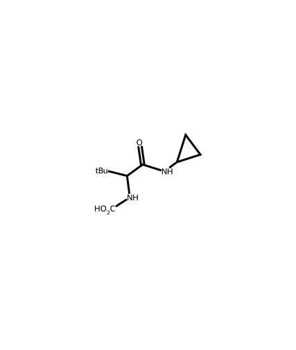 CC(C)(C)C(NC(=O)O)C(=O)NC1CC1